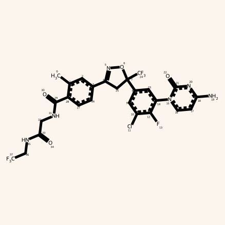 Cc1cc(C2=NOC(c3cc(Cl)c(F)c(-n4ccc(N)nc4=O)c3)(C(F)(F)F)C2)ccc1C(=O)NCC(=O)NCC(F)(F)F